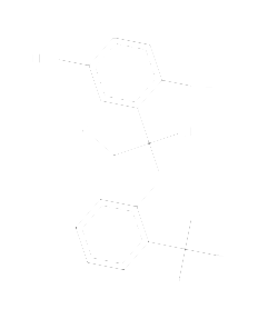 CCC(C)(Pc1ccccc1C(F)(F)F)c1cc(C)ccc1O